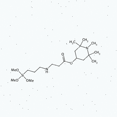 CO[Si](CCCNCCC(=O)OC1CC(C)(C)N(C)C(C)(C)C1)(OC)OC